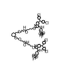 O=C(CCCCCOc1cc(NC2CCN(S(=O)(=O)C(F)(F)F)CC2)c2cc(C(c3ccc(Cl)cc3)c3ccc(Cl)cc3)ccc2n1)NCCCOCCOC1CCCCC(CCOCCCNC(=O)CCCCCOc2cc(NC3CCN(S(=O)(=O)C(F)(F)F)CC3)c3cc(C(c4ccc(Cl)cc4)c4ccc(Cl)cc4)ccc3n2)C1